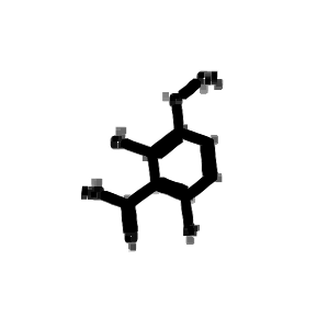 COc1ccc(Br)c(C(=O)O)c1Cl